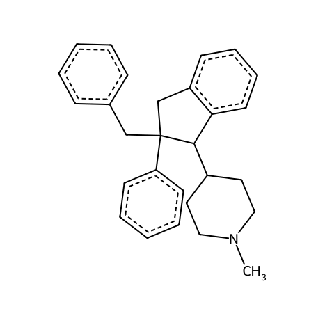 CN1CCC(C2c3ccccc3CC2(Cc2ccccc2)c2ccccc2)CC1